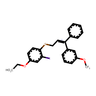 O=C(O)COc1ccc(SC/C=C(/c2ccccc2)c2cccc(OC(F)(F)F)c2)c(I)c1